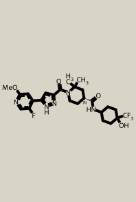 COc1cc(-c2cc(C(=O)N3CC[C@@H](C(=O)NC4CCC(O)(C(F)(F)F)CC4)CC3(C)C)n[nH]2)c(F)cn1